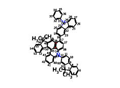 CC1(C)c2ccccc2-c2ccc(N(c3ccc(-c4ccc5c(c4)c4ccccc4n5-c4ccccc4)cc3)c3ccccc3-c3cccc4c3-c3ccccc3C4(C)C)cc21